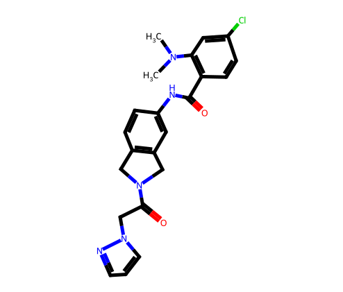 CN(C)c1cc(Cl)ccc1C(=O)Nc1ccc2c(c1)CN(C(=O)Cn1cccn1)C2